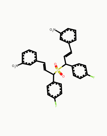 O=[N+]([O-])c1cccc(C=CC(c2ccc(F)cc2)S(=O)(=O)C(C=Cc2cccc([N+](=O)[O-])c2)c2ccc(F)cc2)c1